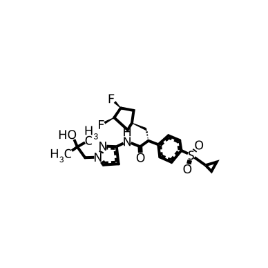 CC(C)(O)Cn1ccc(NC(=O)[C@H](C[C@H]2C[C@@H](F)[C@@H](F)C2)c2ccc(S(=O)(=O)C3CC3)cc2)n1